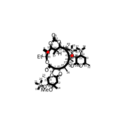 C=C1[C@@H](CC)OC(=O)[C@H](C)[C@@H](OC2C[C@@](C)(OC)[C@@H](O[Si](C)(C)C)[C@H](C)O2)[C@H](C)[C@@H](OC2O[C@H](C)C[C@H](N(C)C)[C@H]2O[Si](C)(C)C)[C@@](C)(O)C[C@@H](C)[C@@H]2OC(=O)O[C@@H]1[C@H]2C